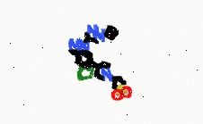 O=S1(=O)CCC(N2CCC(c3cc4c(cnn4-c4cnn(C56CC(C5)C6)c4)cc3Cl)CC2)C1